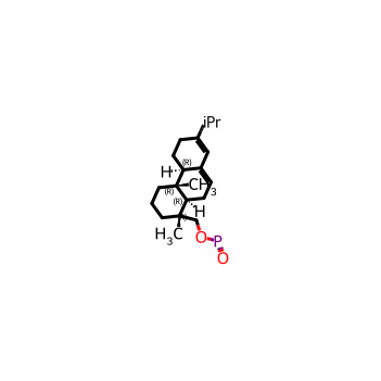 CC(C)C1=CC2=CC[C@H]3[C@](C)(COP=O)CCC[C@]3(C)[C@H]2CC1